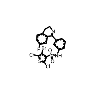 O=S(=O)(Nc1cccc(C2=NCCc3ccc(F)cc32)c1)c1c(Cl)sc(Cl)c1Br